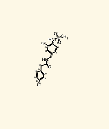 CS(=O)(=O)Nc1ccc(CNC(=O)Cc2ccc(Cl)cc2)cc1F